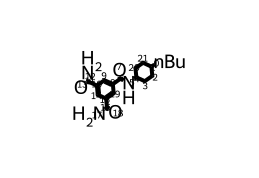 CCCCC1CCC(NC(=O)c2cc(C(N)=O)cc(C(N)=O)c2)CC1